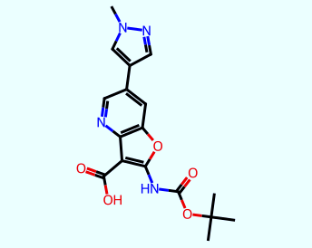 Cn1cc(-c2cnc3c(C(=O)O)c(NC(=O)OC(C)(C)C)oc3c2)cn1